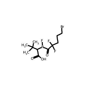 CC(C)(C)C(C(=O)O)N(F)C(=O)C(F)(F)CCCBr